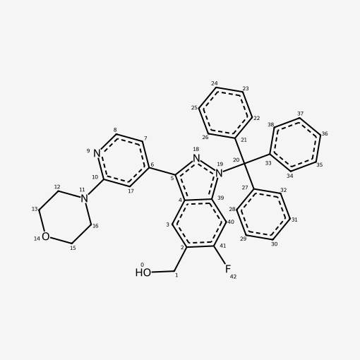 OCc1cc2c(-c3ccnc(N4CCOCC4)c3)nn(C(c3ccccc3)(c3ccccc3)c3ccccc3)c2cc1F